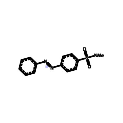 CNS(=O)(=O)c1ccc(/N=N/c2ccccc2)cc1